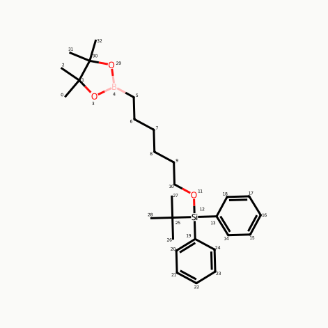 CC1(C)OB(CCCCCCO[Si](c2ccccc2)(c2ccccc2)C(C)(C)C)OC1(C)C